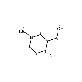 C[C@@H]1CCN(C(C)(C)C)CC1CO